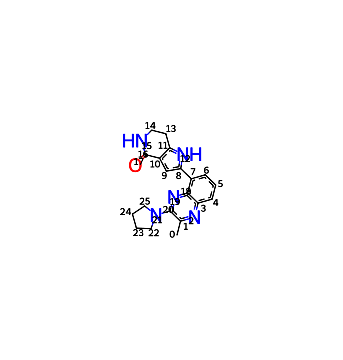 Cc1nc2cccc(-c3cc4c([nH]3)CCNC4=O)c2nc1N1CCCC1